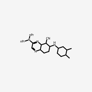 CCCN(CCC)C1=NC2C(CCC(NC3CCC(C)C(C)C3)C2C#N)N=C1